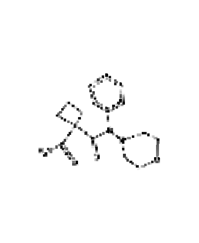 NC(=O)C1(C(=O)N(c2ccccc2)N2CCOCC2)CCC1